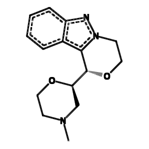 CN1CCO[C@@H]([C@H]2OCCn3nc4ccccc4c32)C1